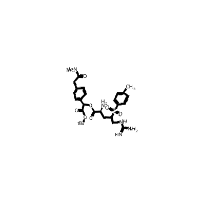 [CH2]NC(=O)Cc1ccc(C(OC(=O)[C@@H](N)CC(CNC(=N)N)S(=O)(=O)c2ccc(C)cc2)C(=O)OC(C)(C)C)cc1